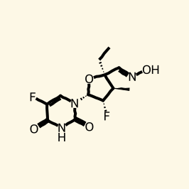 CC[C@@]1(C=NO)O[C@@H](n2cc(F)c(=O)[nH]c2=O)[C@@H](F)[C@@H]1C